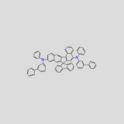 c1ccc(-c2cccc(N(c3ccccc3)c3ccc4cc5c(cc4c3)C3(c4ccccc4-c4ccccc43)c3cc(N(c4ccccc4)c4cccc(-c6ccccc6)c4)c4ccccc4c3-5)c2)cc1